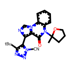 CC(C)(C)c1nnn(C#N)c1-c1ncn2c1c(=O)n(C1(C)CCCO1)c1ccccc12